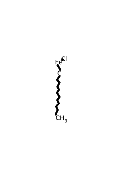 CCCCCCCCCCCCCCC[CH2][Fe][Cl]